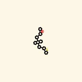 c1cc(-c2ccc3oc4ccccc4c3c2)cc(-c2c3ccccc3c(-c3cccc(-c4ccc5sc6ccccc6c5c4)c3)c3ccccc23)c1